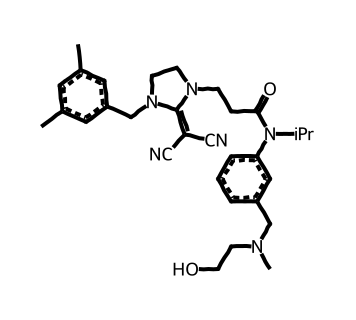 Cc1cc(C)cc(CN2CCN(CCC(=O)N(c3cccc(CN(C)CCO)c3)C(C)C)C2=C(C#N)C#N)c1